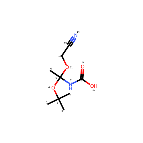 CC(C)(C)OC(C)(NC(=O)O)OCC#N